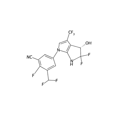 N#Cc1cc(-n2cc(C(F)(F)F)c3c2NC(F)(F)[C@H]3O)cc(C(F)F)c1F